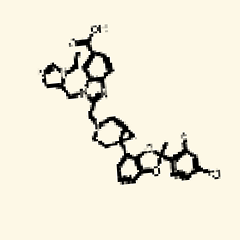 CCn1cncc1Cn1c(CN2CCC3(c4cccc5c4OC(C)(c4ccc(Cl)cc4F)O5)CC3C2)nc2ccc(C(=O)O)cc21